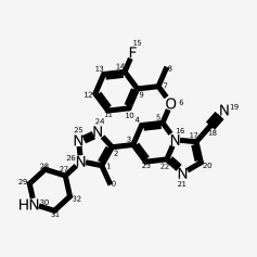 Cc1c(-c2cc(OC(C)c3ccccc3F)n3c(C#N)cnc3c2)nnn1C1CCNCC1